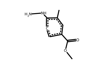 COC(=O)c1ccc(NN)c(C)c1